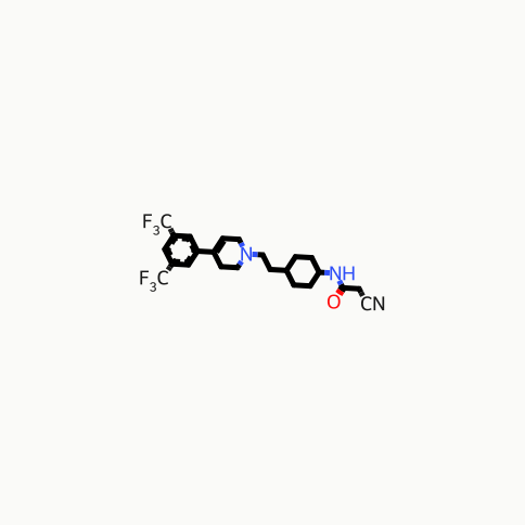 N#CCC(=O)NC1CCC(CCN2CC=C(c3cc(C(F)(F)F)cc(C(F)(F)F)c3)CC2)CC1